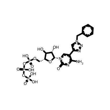 Nc1nc(=O)n([C@@H]2O[C@H](COP(=O)(O)OP(=O)(O)OP(=O)(O)O)C(O)[C@@H]2O)cc1-c1cn(Cc2ccccc2)nn1